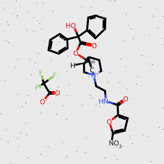 O=C(NCC[N+]12CCC(CC1)[C@@H](OC(=O)C(O)(c1ccccc1)c1ccccc1)C2)c1ccc([N+](=O)[O-])o1.O=C([O-])C(F)(F)F